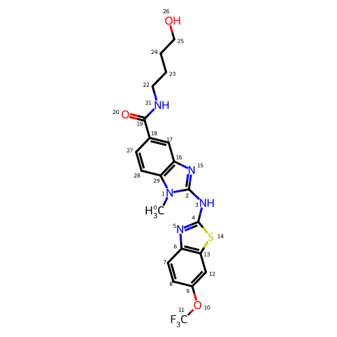 Cn1c(Nc2nc3ccc(OC(F)(F)F)cc3s2)nc2cc(C(=O)NCCCCO)ccc21